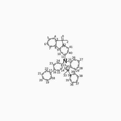 CC1(C)c2ccccc2-c2cc(N(c3ccc(-c4ccccc4)cc3)c3cccc4c3C(C)(C)c3ccccc3-4)ccc21